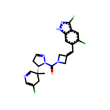 CC1([C@@H]2CC=NN2C(=O)N2CC(=Cc3cc4[nH]nc(F)c4cc3F)C2)C=NC=C(F)C1